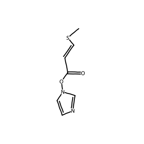 CSC=CC(=O)On1ccnc1